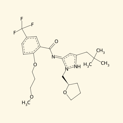 COCCCOc1ccc(C(F)(F)F)cc1C(=O)N=c1cc(CC(C)(C)C)[nH]n1C[C@H]1CCCO1